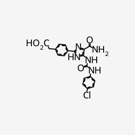 NC(=O)c1nc(-c2ccc(CC(=O)O)cc2)[nH]c1NC(=O)Nc1ccc(Cl)cc1